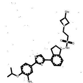 CC(C)Oc1ccc(-c2ncc(-c3cccc4c3CC[C@@H]4NS(=O)(=O)CCN3CC(O)C3)s2)cc1N